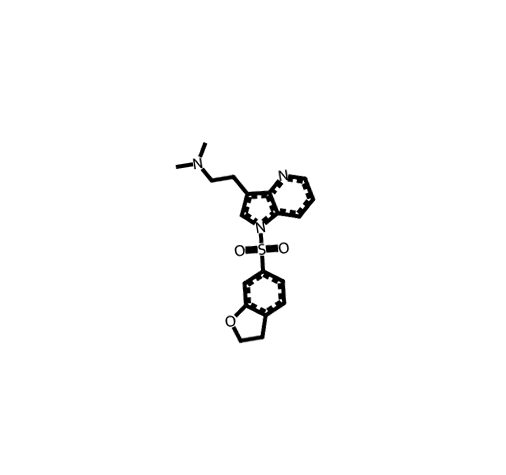 CN(C)CCc1cn(S(=O)(=O)c2ccc3c(c2)OCC3)c2cccnc12